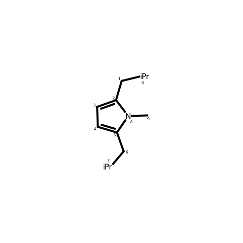 CC(C)Cc1ccc(CC(C)C)n1C